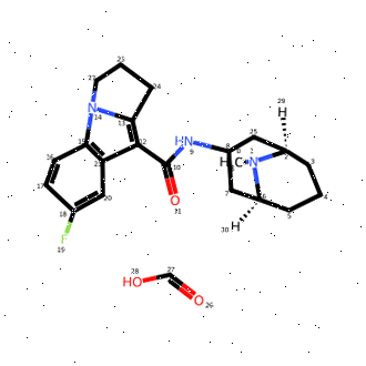 CN1[C@@H]2CCC[C@H]1CC(NC(=O)c1c3n(c4ccc(F)cc14)CCC3)C2.O=CO